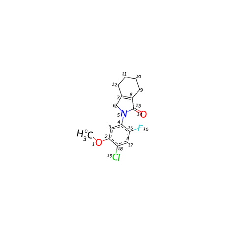 COc1cc(N2[CH]C3=C(CCCC3)C2=O)c(F)cc1Cl